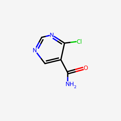 NC(=O)c1cncnc1Cl